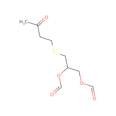 CC(=O)CCSCC(COC=O)OC=O